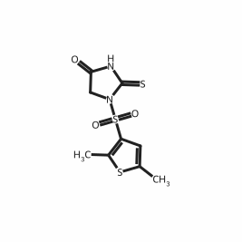 Cc1cc(S(=O)(=O)N2CC(=O)NC2=S)c(C)s1